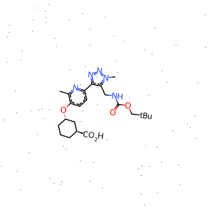 Cc1nc(-c2nnn(C)c2CNC(=O)OCC(C)(C)C)ccc1O[C@H]1CCC[C@H](C(=O)O)C1